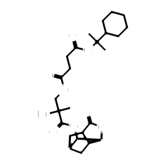 CCC(C)(COC(=O)CCC(=O)OC(C)(C)C1CCCCC1)C(=O)OC1C2CC3C(=O)OC1C3C2